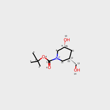 CC(C)(C)OC(=O)N1C[C@H](O)C[C@H](CO)C1